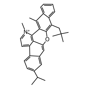 Cc1c2c(c(CC(C)(C)C)c3ccccc13)Oc1cc3cc(C(C)C)ccc3c3cc[n+](C)c-2c13